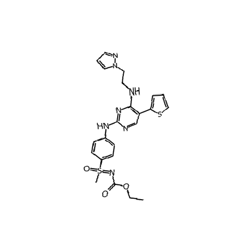 CCOC(=O)N=S(C)(=O)c1ccc(Nc2ncc(-c3cccs3)c(NCCn3cccn3)n2)cc1